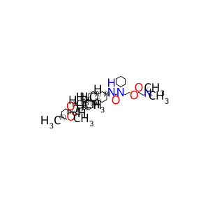 C[C@H]1CC[C@@]2(OC1)O[C@H]1C[C@H]3[C@@H]4CC[C@@H]5C[C@H](NC(=O)N(CCOC(=O)CN(C)C)C6CCCCC6)CC[C@]5(C)[C@H]4CC[C@]3(C)[C@H]1[C@@H]2C